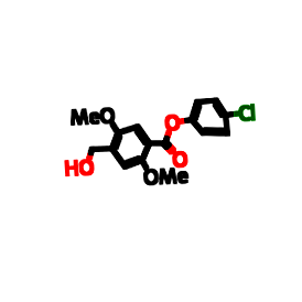 COc1cc(C(=O)Oc2ccc(Cl)cc2)c(OC)cc1CO